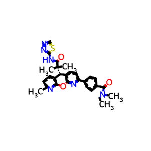 CCN(C)C(=O)c1ccc(-c2ccc3c(n2)Oc2nc(C)ccc2[C@@H]3C(C)(C)C(=O)Nc2nncs2)cc1